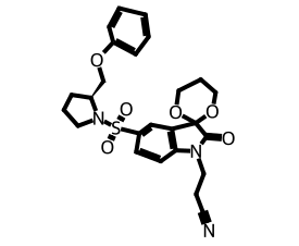 N#CCCN1C(=O)C2(OCCCO2)c2cc(S(=O)(=O)N3CCC[C@H]3COc3ccccc3)ccc21